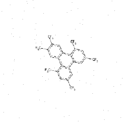 FC(F)(F)c1cc(C(F)(F)F)c2c(c1)c1cc(C(F)(F)F)cc(C(F)(F)F)c1c1cc(C(F)(F)F)c(C(F)(F)F)cc12